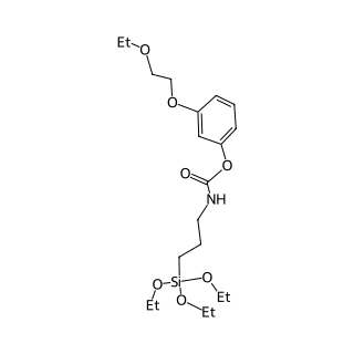 CCOCCOc1cccc(OC(=O)NCCC[Si](OCC)(OCC)OCC)c1